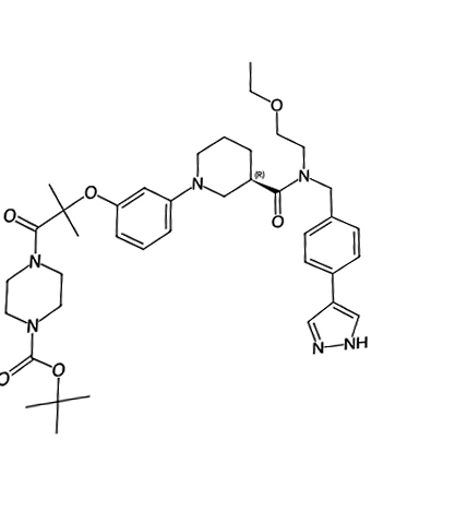 CCOCCN(Cc1ccc(-c2cn[nH]c2)cc1)C(=O)[C@@H]1CCCN(c2cccc(OC(C)(C)C(=O)N3CCN(C(=O)OC(C)(C)C)CC3)c2)C1